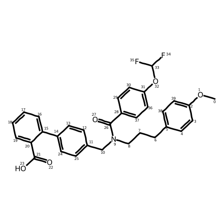 COc1ccc(CCCN(Cc2ccc(-c3ccccc3C(=O)O)cc2)C(=O)c2ccc(OC(F)F)cc2)cc1